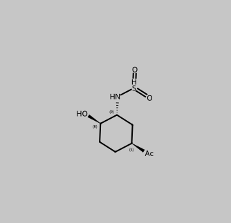 CC(=O)[C@H]1CC[C@@H](O)[C@H](N[SH](=O)=O)C1